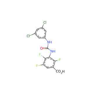 O=C(Nc1cc(Cl)cc(Cl)c1)Nc1c(F)c(F)cc(C(=O)O)c1F